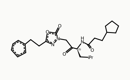 CC(C)C[C@H](NC(=O)CCC1CCCC1)C(=O)Cn1nc(CCc2ccccc2)oc1=O